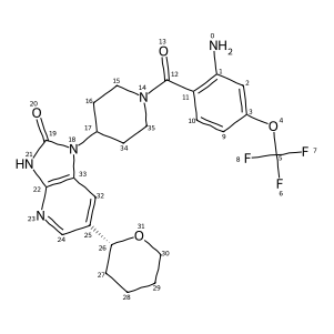 Nc1cc(OC(F)(F)F)ccc1C(=O)N1CCC(n2c(=O)[nH]c3ncc([C@H]4CCCCO4)cc32)CC1